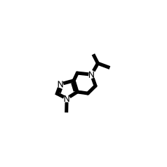 CC(C)N1CCc2c(ncn2C)C1